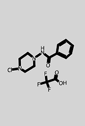 O=C(NN1CCN(Cl)CC1)c1ccccc1.O=C(O)C(F)(F)F